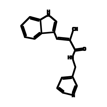 N#C/C(=C\c1c[nH]c2ccccc12)C(=O)NCc1cccnc1